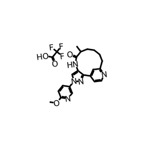 COc1ccc(-n2cc3c(n2)-c2ccnc(c2)CCCCC(C)C(=O)N3)cn1.O=C(O)C(F)(F)F